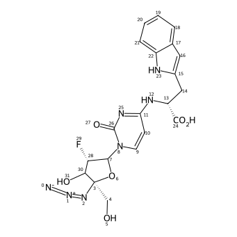 [N-]=[N+]=N[C@]1(CO)OC(n2ccc(N[C@H](Cc3cc4ccccc4[nH]3)C(=O)O)nc2=O)[C@@H](F)C1O